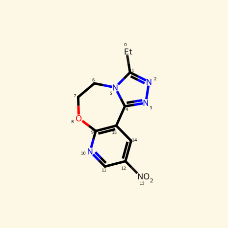 CCc1nnc2n1CCOc1ncc([N+](=O)[O-])cc1-2